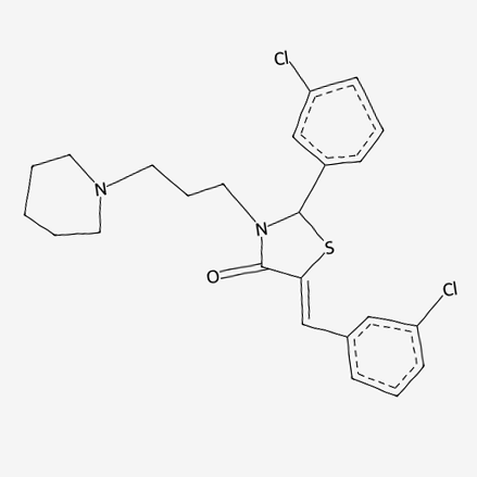 O=C1C(=Cc2cccc(Cl)c2)SC(c2cccc(Cl)c2)N1CCCN1CCCCC1